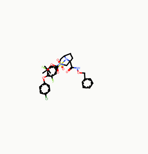 CC(C)(C)OC(=O)N1CC2CCC(C(=O)NOCc3ccccc3)(C1)N2S(=O)(=O)c1cc(F)c(Oc2ccc(Cl)cc2)c(F)c1